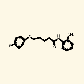 Nc1ccccc1NC(=O)CCCCSc1ccc(F)cc1